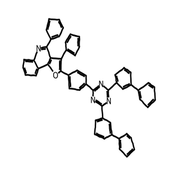 c1ccc(-c2cccc(-c3nc(-c4ccc(-c5oc6c(c(-c7ccccc7)nc7ccccc76)c5-c5ccccc5)cc4)nc(-c4cccc(-c5ccccc5)c4)n3)c2)cc1